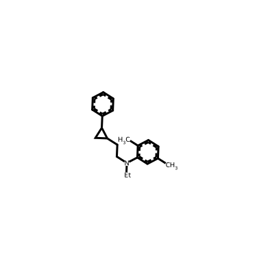 CCN(CCC1CC1c1ccccc1)c1cc(C)ccc1C